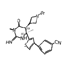 CC(C)N1CC([C@@H]2C(=O)N(C)C(=N)N[C@]2(C)c2cc(-c3cccc(C#N)c3)cs2)C1